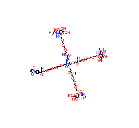 CC(=O)N[C@H]1[C@@H](OCCOCCOCCOCCNC(=O)CCOCC(COCCC(=O)NCCOCCOCCOCCO[C@H]2O[C@H](CO)[C@H](O)[C@H](O)[C@H]2NC(C)=O)(COCCC(=O)NCCOCCOCCOCCO[C@H]2O[C@H](CO)[C@H](O)[C@H](O)[C@H]2NC(C)=O)NC(=O)CCOCCOCCOCCOCCNC(=O)c2ccc(N3C(=O)C=CC3=O)cc2)O[C@H](CO)[C@H](O)[C@@H]1O